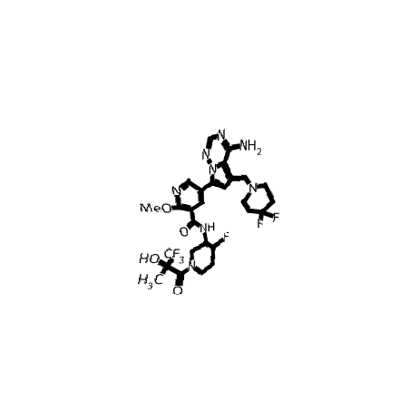 COc1ncc(-c2cc(CN3CCC(F)(F)CC3)c3c(N)ncnn23)cc1C(=O)NC1CN(C(=O)C(C)(O)C(F)(F)F)CCC1F